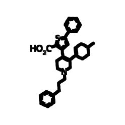 CC1CC=C(C2=C(c3cc(-c4ccccc4)sc3C(=O)O)CCN(CCCc3ccccc3)C2)CC1